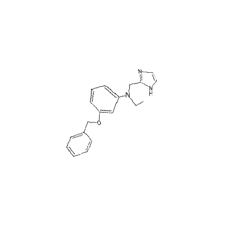 CCN(Cc1ncc[nH]1)c1cccc(OCc2ccccc2)c1